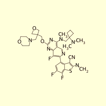 C=Nc1sc2c(F)c(F)cc(-c3ncc4c(N(C)CC5(N(C)C)CCC5)nc(OCC5(CN6CCOCC6)COC5)nc4c3F)c2c1C#N